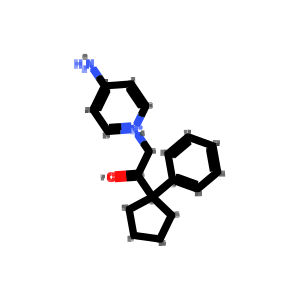 Nc1cc[n+](CC(=O)C2(c3ccccc3)CCCC2)cc1